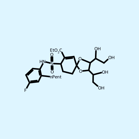 CCCCCc1cc(F)ccc1NS(=O)(=O)C1CCC2(C=C1C(=O)OCC)OC(C(O)CO)C(C(O)CO)O2